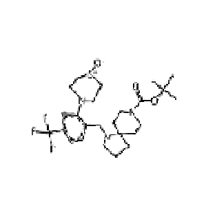 CC(C)(C)OC(=O)N1CCC2(CCCN2Cc2ccc(C(F)(F)F)cc2N2CC[S+]([O-])CC2)CC1